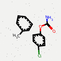 Cc1ccccc1.NC(=O)Oc1ccc(Cl)cc1